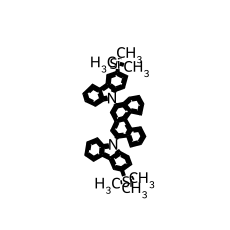 C[Si](C)(C)c1ccc2c(c1)c1ccccc1n2-c1cc2cc(-n3c4ccccc4c4cc([Si](C)(C)C)ccc43)c3ccccc3c2c2ccccc12